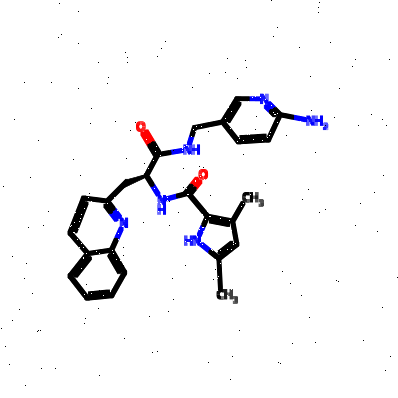 Cc1cc(C)c(C(=O)N[C@@H](Cc2ccc3ccccc3n2)C(=O)NCc2ccc(N)nc2)[nH]1